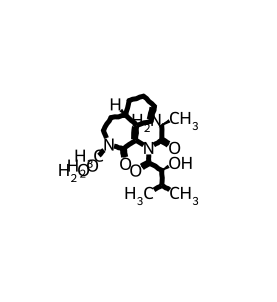 CC(C)[C@H](O)C(=O)N(C(=O)[C@H](C)N)C1=C2C=CCC[C@H]2CCN(C)C1=O.O.O